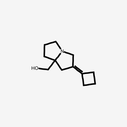 OCC12CCCN1CC(=C1CCC1)C2